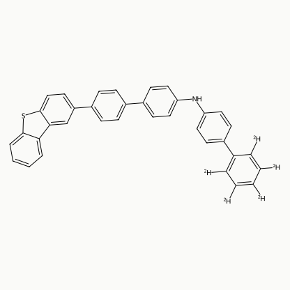 [2H]c1c([2H])c([2H])c(-c2ccc(Nc3ccc(-c4ccc(-c5ccc6sc7ccccc7c6c5)cc4)cc3)cc2)c([2H])c1[2H]